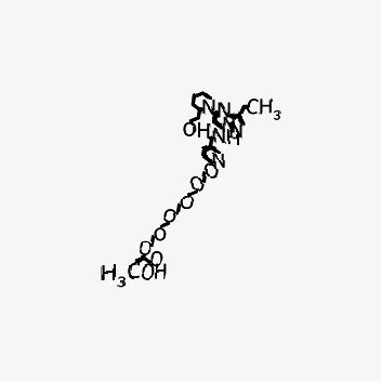 CC=C(OCCOCCOCCOCCOCCOc1ccc(CNc2cc(N3CCCCC3CCO)nc3c(CC)cnn23)cn1)C(=O)O